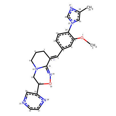 COc1cc(/C=C2\CCCN3CC(c4cnccn4)ON=C23)ccc1-n1cnc(C)c1